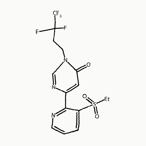 CCS(=O)(=O)c1cccnc1-c1cc(=O)n(CCC(F)(F)C(F)(F)F)cn1